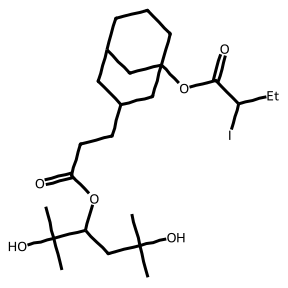 CCC(I)C(=O)OC12CCCC(CC(CCC(=O)OC(CC(C)(C)O)C(C)(C)O)C1)C2